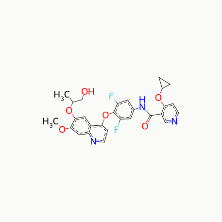 COc1cc2nccc(Oc3c(F)cc(NC(=O)c4cnccc4OC4CC4)cc3F)c2cc1OC(C)CO